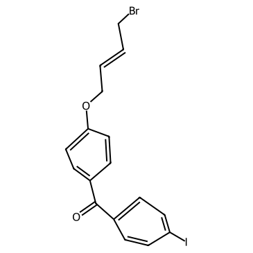 O=C(c1ccc(I)cc1)c1ccc(OCC=CCBr)cc1